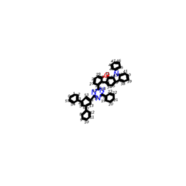 c1ccc(-c2cc(-c3ccccc3)cc(-c3nc(-c4ccccc4)nc(-c4cccc5oc6c(ccc7c8ccccc8n(-c8ccccc8)c76)c45)n3)c2)cc1